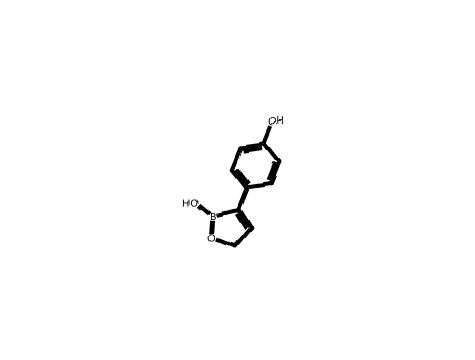 OB1OCC=C1c1ccc(O)cc1